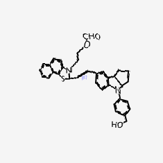 O=COCCN1c2ccc3ccccc3c2SC1/C=C/c1ccc2c(c1)C1CCCC1N2c1ccc(CO)cc1